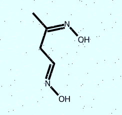 CC(CC=NO)=NO